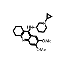 COc1cc2nc3c(c(N[C@@H]4CCCN(C5CC5)C4)c2cc1OC)CCCC3